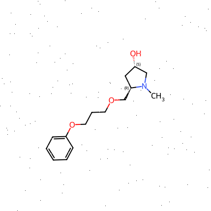 CN1C[C@@H](O)C[C@@H]1COCCCOc1ccccc1